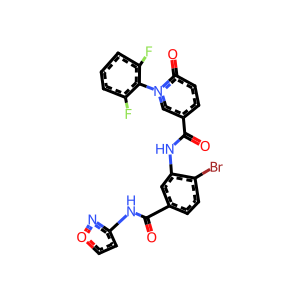 O=C(Nc1ccon1)c1ccc(Br)c(NC(=O)c2ccc(=O)n(-c3c(F)cccc3F)c2)c1